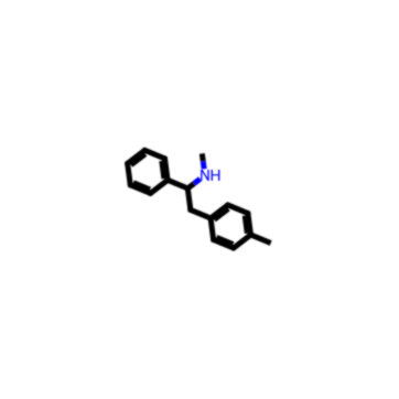 CNC(Cc1ccc(C)cc1)c1ccccc1